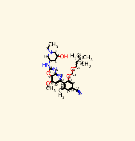 CCN1C[C@@H](O)C[C@@H](Nc2nc3nc(-c4c(C)cc(C#N)cc4OCOCC[Si](C)(C)C)cc(OC)c3o2)C1